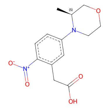 C[C@H]1COCCN1c1ccc([N+](=O)[O-])c(CC(=O)O)c1